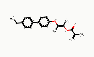 C=C(C)C(=O)O/C(C)=C(\C)Oc1ccc(-c2ccc(CC)cc2)cc1